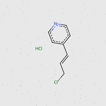 Cl.ClCC=Cc1ccncc1